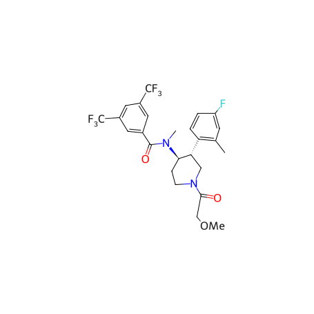 COCC(=O)N1CC[C@@H](N(C)C(=O)c2cc(C(F)(F)F)cc(C(F)(F)F)c2)[C@H](c2ccc(F)cc2C)C1